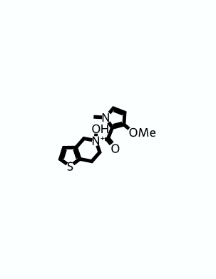 COc1ccn(C)c1C(=O)[N+]1(O)CCc2sccc2C1